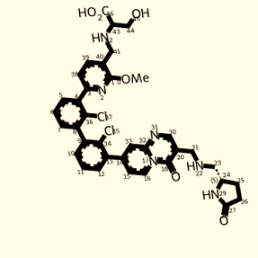 COc1nc(-c2cccc(-c3cccc(-c4ccn5c(=O)c(CNC[C@@H]6CCC(=O)N6)cnc5c4)c3Cl)c2Cl)ccc1CNC(CO)C(=O)O